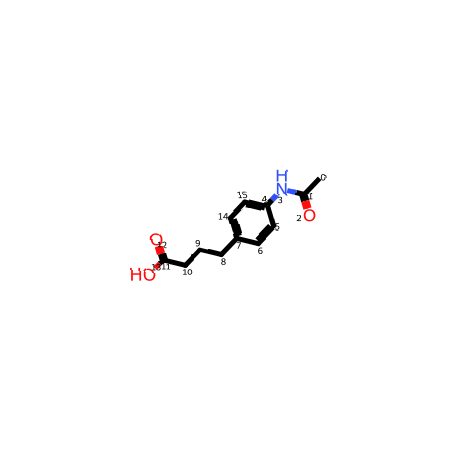 CC(=O)Nc1ccc(CCCC(=O)O)cc1